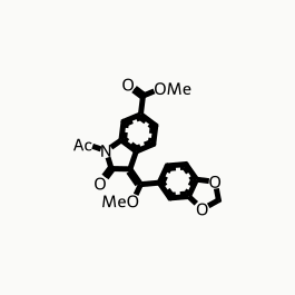 COC(=O)c1ccc2c(c1)N(C(C)=O)C(=O)C2=C(OC)c1ccc2c(c1)OCO2